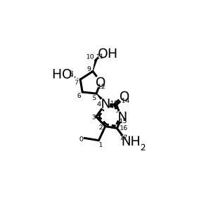 CCc1cn([C@H]2C[C@H](O)[C@@H](CO)O2)c(=O)nc1N